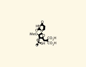 CO[C@H]1C(O[PH](=O)S)C(CC(C(=O)O)C(=O)O)O[C@H]1n1ccc(=O)[nH]c1=O